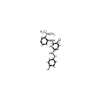 CP(C)c1ccccc1Nc1nc(NCc2ccc(F)cc2)ncc1Cl